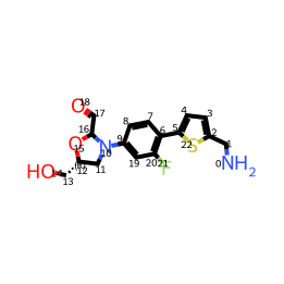 NCc1ccc(-c2ccc(N3C[C@H](CO)OC3C=O)cc2F)s1